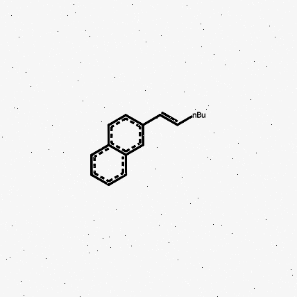 CCCCC=Cc1ccc2ccccc2c1